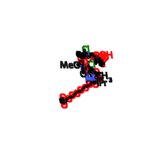 COCCN(CCN(CCOC)C(=O)Oc1cc2c(c3ccccc13)C(CCl)CN2C(=O)c1ccc(C(=O)N2CC(CCl)c3c2cc(OP(=O)(O)O)c2ccccc32)s1)C(=O)OCc1ccc(NC(=O)C(C)NC(=O)C(NC(=O)CCOCCOCCOCCOCCOCCOCCN2C(=O)C=CC2=O)C(C)C)cc1